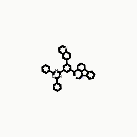 C=C(C1=C2/C(=C\C)c3ccccc3C2CC=C1)c1cc(-c2ccc3ncccc3c2)cc(-c2nc(-c3ccccc3)nc(-c3ccccc3)n2)c1